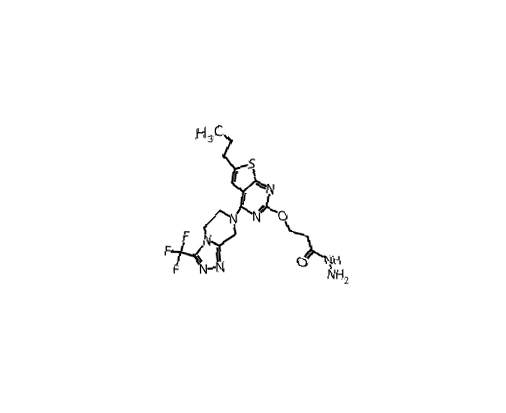 CCCc1cc2c(N3CCn4c(nnc4C(F)(F)F)C3)nc(OCCC(=O)NN)nc2s1